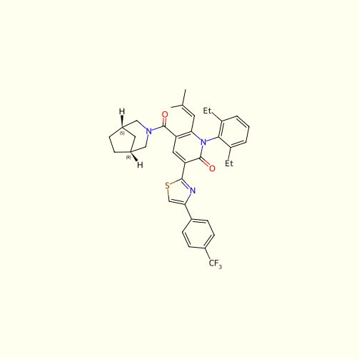 CCc1cccc(CC)c1-n1c(C=C(C)C)c(C(=O)N2C[C@@H]3CC[C@@H](C3)C2)cc(-c2nc(-c3ccc(C(F)(F)F)cc3)cs2)c1=O